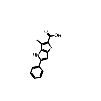 Cc1c(C(=O)O)sc2cc(-c3ccccc3)[nH]c12